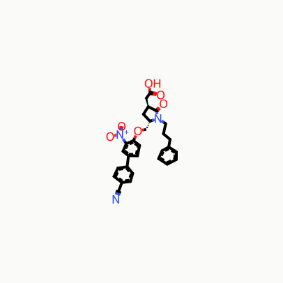 N#Cc1ccc(-c2ccc(OC[C@@H]3C[C@@H](CC(=O)O)C(=O)N3CCCc3ccccc3)c([N+](=O)[O-])c2)cc1